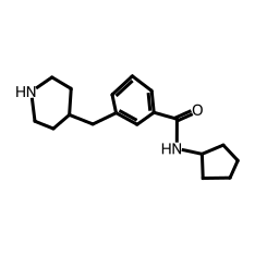 O=C(NC1CCCC1)c1cccc(CC2CCNCC2)c1